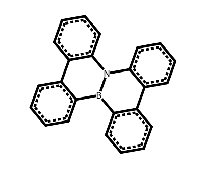 c1ccc2c(c1)B1c3ccccc3-c3ccccc3N1c1ccccc1-2